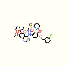 COc1cc2ncnc(Nc3ccc(OCc4cccc(F)c4)c(Br)c3)c2cc1C1(C(C)OCCS(=O)(=O)c2ccccn2)CC=CO1